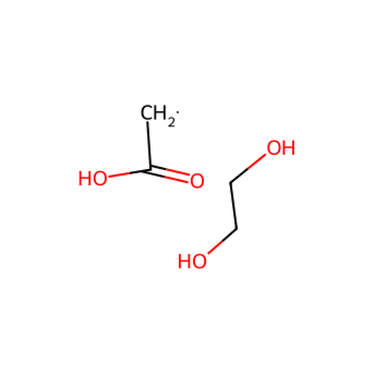 OCCO.[CH2]C(=O)O